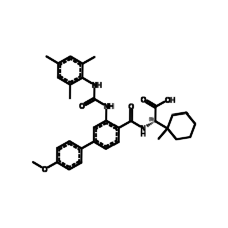 COc1ccc(-c2ccc(C(=O)N[C@H](C(=O)O)C3(C)CCCCC3)c(NC(=O)Nc3c(C)cc(C)cc3C)c2)cc1